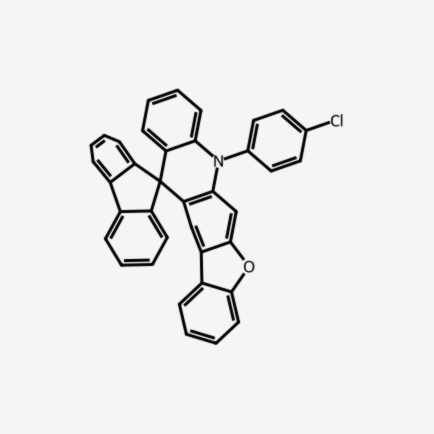 Clc1ccc(N2c3ccccc3C3(c4ccccc4-c4ccccc43)c3cc4c(cc32)oc2ccccc24)cc1